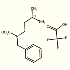 C[C@H](N)CCN(Cc1ccccc1)C(=O)O.O=C(O)C(F)(F)F